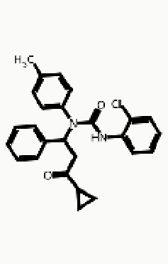 Cc1ccc(N(C(=O)Nc2ccccc2Cl)C(CC(=O)C2CC2)c2ccccc2)cc1